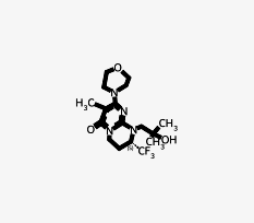 Cc1c(N2CCOCC2)nc2n(c1=O)CC[C@@H](C(F)(F)F)N2CC(C)(C)O